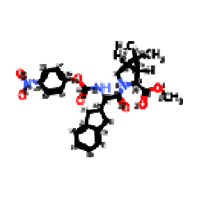 COC(=O)[C@@H]1[C@@H]2[C@H](CN1C(=O)[C@@H](NC(=O)Oc1ccc([N+](=O)[O-])cc1)C1Cc3ccccc3C1)C2(C)C